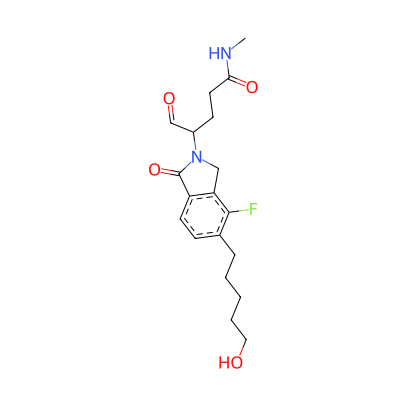 CNC(=O)CCC(C=O)N1Cc2c(ccc(CCCCCO)c2F)C1=O